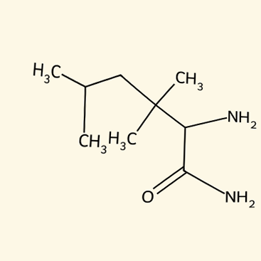 CC(C)CC(C)(C)C(N)C(N)=O